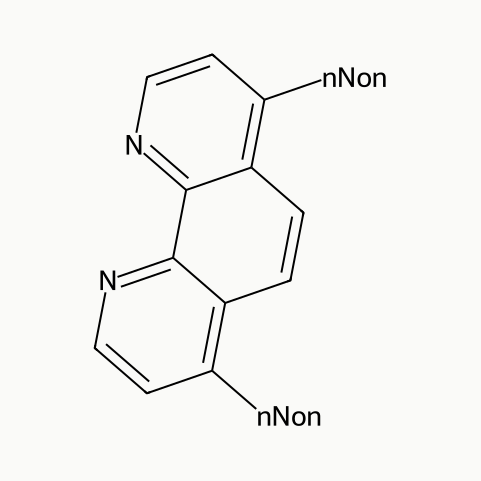 CCCCCCCCCc1ccnc2c1ccc1c(CCCCCCCCC)ccnc12